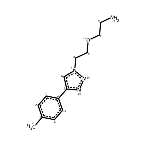 Cc1ccc(-c2cn(CCOCCN)nn2)cc1